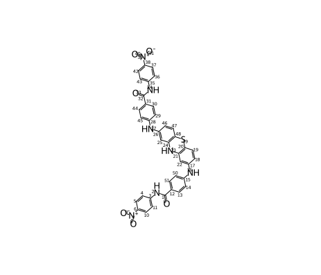 O=C(Nc1ccc([N+](=O)[O-])cc1)c1ccc(Nc2ccc3c(c2)Nc2cc(Nc4ccc(C(=O)Nc5ccc([N+](=O)[O-])cc5)cc4)ccc2S3)cc1